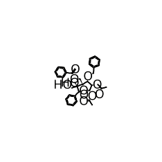 CC(=O)O[C@H]1O[C@](COC(=O)c2ccccc2)([C@@](O)(CO)C(=O)c2ccccc2)[C@H](OCc2ccccc2)[C@H]1OC(C)=O